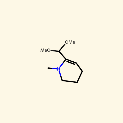 COC(OC)C1=CCCCN1C